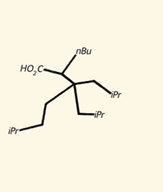 CCCCC(C(=O)O)C(CCC(C)C)(CC(C)C)CC(C)C